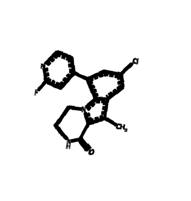 Cc1c2n(c3c(-c4ccnc(F)c4)cc(Cl)cc13)CCNC2=O